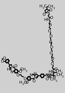 COc1cc2c(cc1OCCCOc1cc3c(cc1OC)C(=O)N1C=C(c4ccc5c(c4)OCO5)C[C@H]1C=N3)N=C[C@@H]1CC(c3ccc(NC(=O)[C@H](C)NC(=O)[C@@H](NC(=O)CCOCCOCCOCCOCCOCCOCCOCCOCCNC(=O)CCN4C(=O)CC(C(C)C)C4=O)C(C)C)cc3)=CN1C2=O